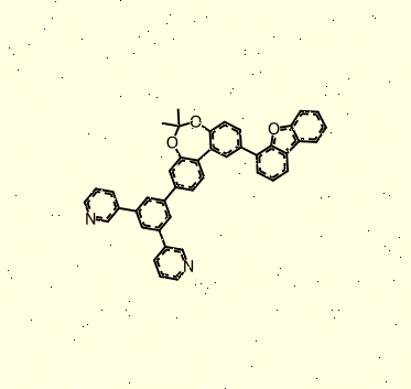 CC1(C)Oc2cc(-c3cc(-c4cccnc4)cc(-c4cccnc4)c3)ccc2-c2cc(-c3cccc4c3oc3ccccc34)ccc2O1